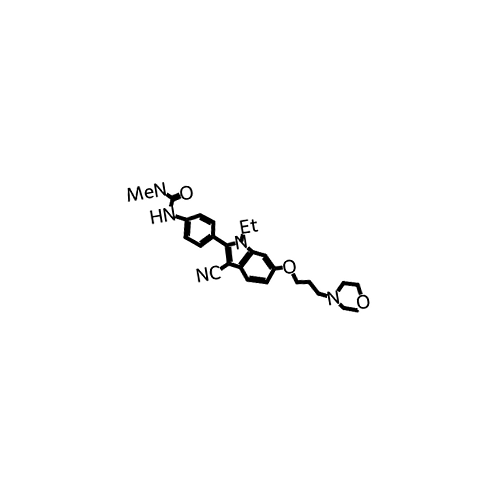 CCn1c(-c2ccc(NC(=O)NC)cc2)c(C#N)c2ccc(OCCCN3CCOCC3)cc21